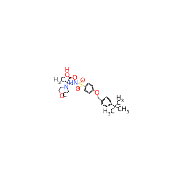 CC(C)(C)c1ccc(COc2ccc(S(=O)(=O)NC[C@@](C)(C(=O)O)N3CCOCC3)cc2)cc1